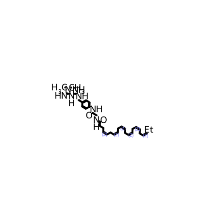 CC/C=C\C/C=C\C/C=C\C/C=C\C/C=C\C/C=C\CCC(=O)NCC(=O)Nc1ccc(CNC(=N)NC(=N)N(C)C)cc1